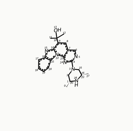 C[C@@H]1CN(c2ncc3cc(C(C)(C)O)c4nc5ccccc5n4c3n2)C[C@H](C)N1